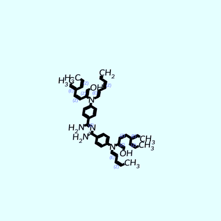 C=C/C=C\C=C\N(C(/C=C\C(\C=C/C)=C\C)=C\O)c1ccc(/C(N)=N/[C@@H](N)c2ccc(N(/C=C/C=C\C)C(/C=C\C(\C=C/C)=C\C)=C\O)cc2)cc1